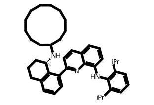 CC(C)c1cccc(C(C)C)c1Nc1cccc2ccc(-c3cccc4c3[C@@H](NC3CCCCCCCCCCC3)CCC4)nc12